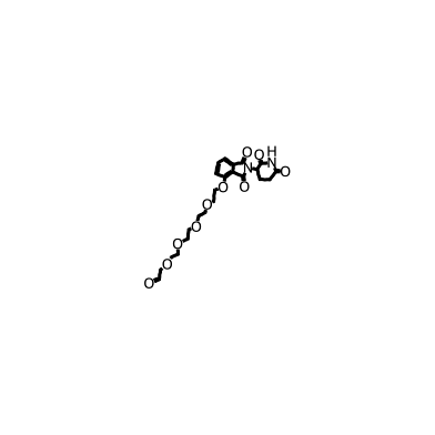 O=CCOCCOCCOCCOCCOc1cccc2c1C(=O)N(C1CCC(=O)NC1=O)C2=O